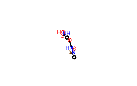 O=C(NO)c1ccc(OCCCCNC(=O)c2nc(-c3ccccc3)cs2)cc1